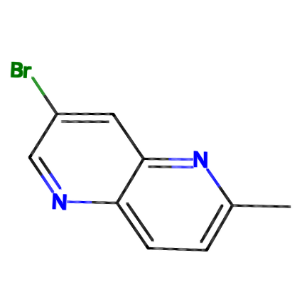 Cc1ccc2ncc(Br)cc2n1